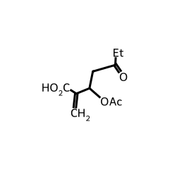 C=C(C(=O)O)C(CC(=O)CC)OC(C)=O